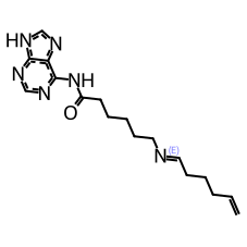 C=CCCC/C=N/CCCCCC(=O)Nc1ncnc2[nH]cnc12